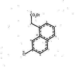 CCOC(=O)Cc1cccc2ccc(Cl)cc12